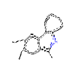 Cc1cc2c(C)nc3ccccc3c2cc1C